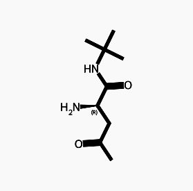 CC(=O)C[C@@H](N)C(=O)NC(C)(C)C